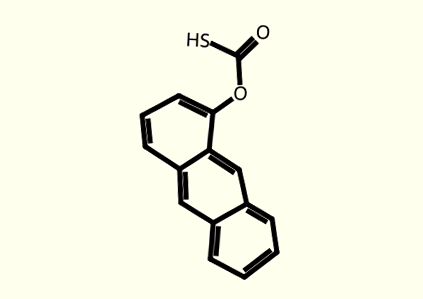 O=C(S)Oc1cccc2cc3ccccc3cc12